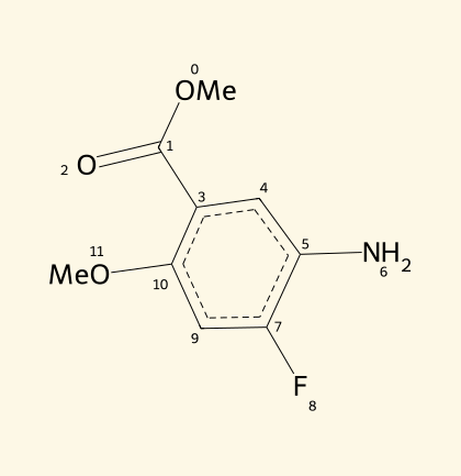 COC(=O)c1cc(N)c(F)cc1OC